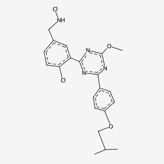 COc1nc(-c2ccc(OCC(C)C)cc2)nc(-c2cc(CNCl)ccc2Cl)n1